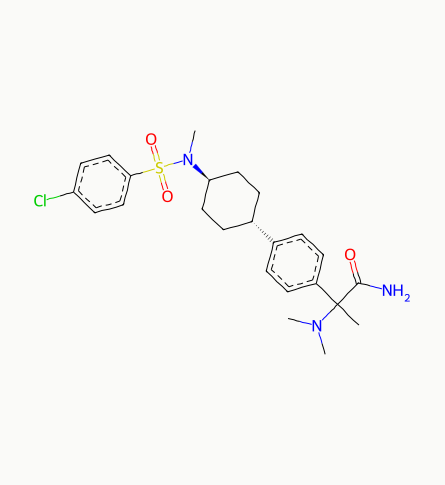 CN(C)C(C)(C(N)=O)c1ccc([C@H]2CC[C@H](N(C)S(=O)(=O)c3ccc(Cl)cc3)CC2)cc1